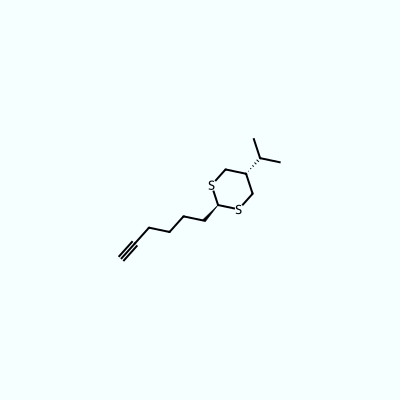 C#CCCCC[C@H]1SC[C@H](C(C)C)CS1